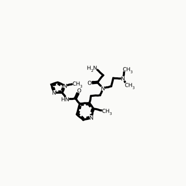 Cc1nccc(C(=O)Nc2nccn2C)c1CCN(CCN(C)C)C(=O)CN